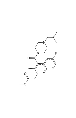 COC(=O)Cc1cc2ccc(F)cc2c(C(=O)N2CCN(C[C](C)C)CC2)c1C